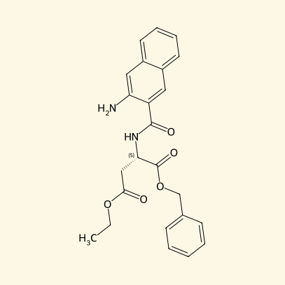 CCOC(=O)C[C@H](NC(=O)c1cc2ccccc2cc1N)C(=O)OCc1ccccc1